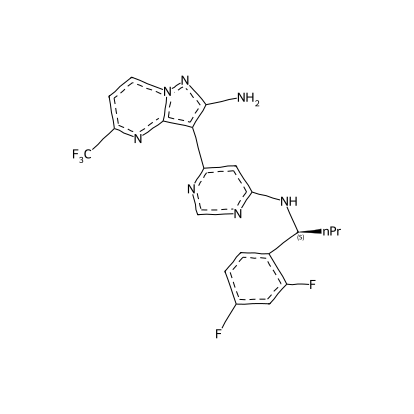 CCC[C@H](Nc1cc(-c2c(N)nn3ccc(C(F)(F)F)nc23)ncn1)c1ccc(F)cc1F